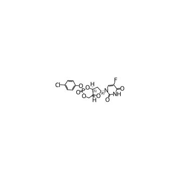 O=c1[nH]c(=O)n([C@H]2C[C@@H]3OP(=O)(Oc4ccc(Cl)cc4)OC[C@H]3O2)cc1F